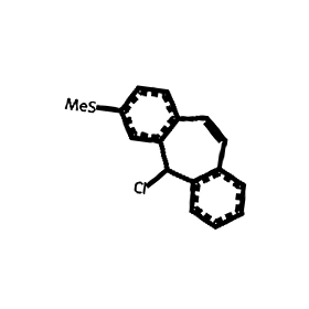 CSc1ccc2c(c1)C(Cl)c1ccccc1C=C2